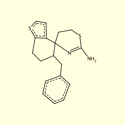 NC1=NC2(CCS1)c1ccsc1CCC2Cc1ccccc1